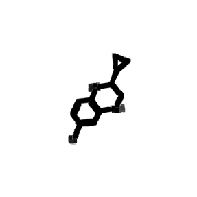 Clc1ccc2c(c1)NC[C@H](C1CC1)N2